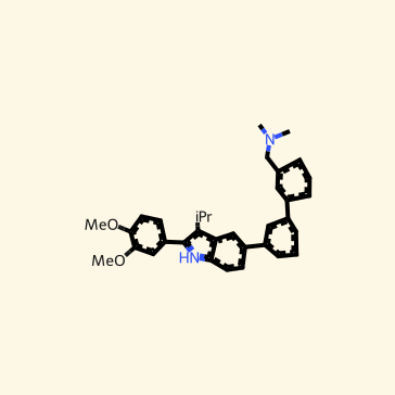 COc1ccc(-c2[nH]c3ccc(-c4cccc(-c5cccc(CN(C)C)c5)c4)cc3c2C(C)C)cc1OC